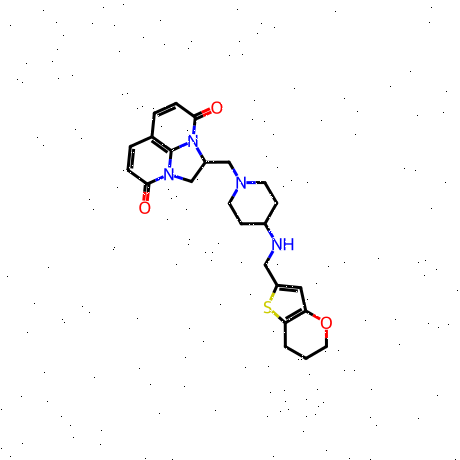 O=c1ccc2ccc(=O)n3c2n1CC3CN1CCC(NCc2cc3c(s2)CCCO3)CC1